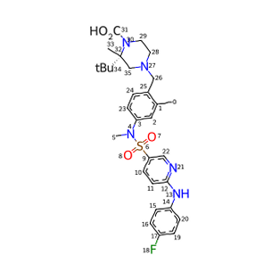 Cc1cc(N(C)S(=O)(=O)c2ccc(Nc3ccc(F)cc3)nc2)ccc1CN1CCN(C(=O)O)[C@@](C)(C(C)(C)C)C1